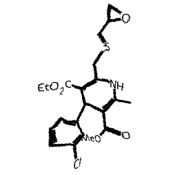 CCOC(=O)C1=C(CSCC2CO2)NC(C)=C(C(=O)OC)C1c1cccc(Cl)c1